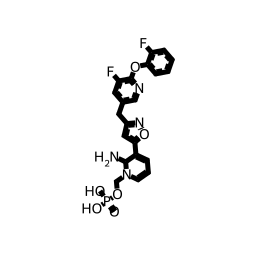 NC1C(c2cc(Cc3cnc(Oc4ccccc4F)c(F)c3)no2)=CC=CN1COP(=O)(O)O